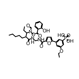 CCCCCC(C(=O)NCNC(=O)c1ccc(-c2cc(OCC)cc(P(=O)(O)O)c2)o1)C(CC)N(C=O)OC(=O)c1ccccc1O